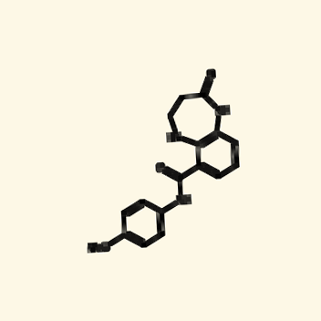 COc1ccc(NC(=O)c2cccc3c2NCCC(=O)N3)cc1